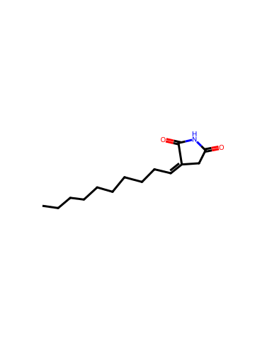 CCCCCCCCCC=C1CC(=O)NC1=O